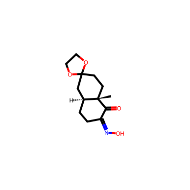 C[C@]12CCC3(C[C@@H]1CC/C(=N/O)C2=O)OCCO3